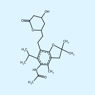 CC(=O)Nc1c(C)c2c(c(CCC3CC(O)CC(=O)O3)c1C(C)C)OC(C)(C)C2